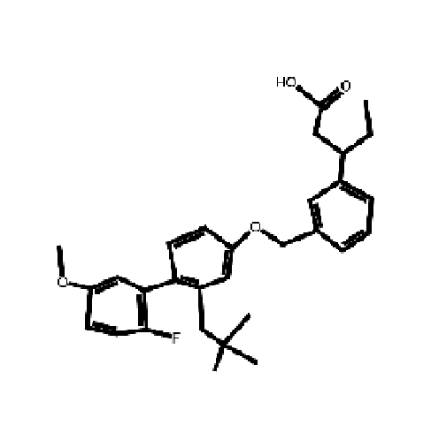 CCC(CC(=O)O)c1cccc(COc2ccc(-c3cc(OC)ccc3F)c(CC(C)(C)C)c2)c1